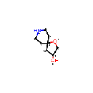 OC1COC2(CCNCC2)C1